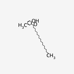 CCCCCCCCCCCCCCCCCC(=O)c1cc(C)ccc1O